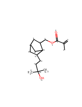 C=C(C)C(=O)OCC1CC2CC(CCC(O)(C(F)(F)F)C(F)(F)F)C1C2